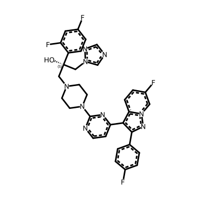 O[C@@](CN1CCN(c2nccc(-c3c(-c4ccc(F)cc4)nn4cc(F)ccc34)n2)CC1)(Cn1cncn1)c1ccc(F)cc1F